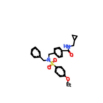 CCOc1ccc(S(=O)(=O)N(Cc2ccccc2)Cc2ccc(C(=O)NCC3CC3)cc2)cc1